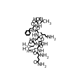 CC(C)C[C@H](NC(=O)[C@H](Cc1ccccc1)NC(=O)[C@H](CCCCN)NC(=O)[C@H](CC(=O)O)NC(=O)[C@H](CC(C)C)NC(=O)[C@H](CO)NC(=O)[C@@H](N)CCC(N)=O)C(=O)O